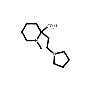 CN1CCCCC1(CCN1CCCC1)C(=O)O